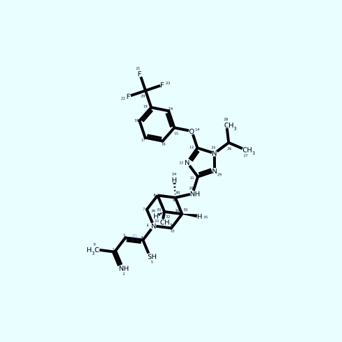 CC(=N)/C=C(\S)N1CC2[C@@H](Nc3nc(Oc4cccc(C(F)(F)F)c4)n(C(C)C)n3)[C@H](C1)[C@H]2C